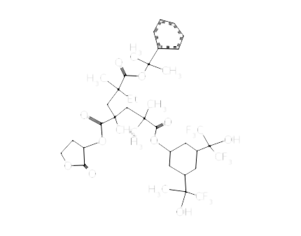 CCC(C)(CC(C)(CC(C)(C)C(=O)OC1CC(C(C)(O)C(F)(F)F)CC(C(O)(C(F)(F)F)C(F)(F)F)C1)C(=O)OC1CCOC1=O)C(=O)OC(C)(C)c1ccccc1